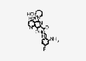 Nc1cc(F)ccc1CNC(=O)c1nc(N2CCCCS2(O)O)c2cccnc2c1O